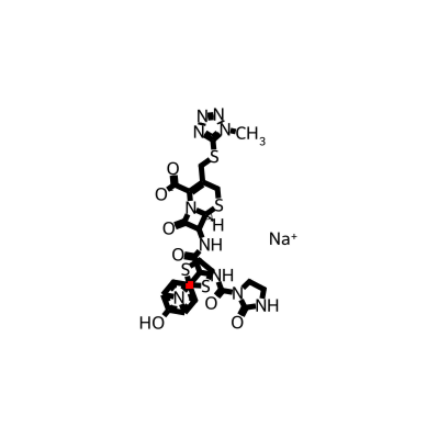 Cn1nnnc1SCC1=C(C(=O)[O-])N2C(=O)C(NC(=O)C(NC(=O)N3CCNC3=O)c3cc4c(O)c(c3)N4C3SCCS3)[C@@H]2SC1.[Na+]